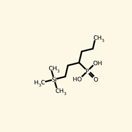 CCCC(CC[Si](C)(C)C)P(=O)(O)O